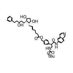 CC(C)(C)OC(=O)NCC(C(=O)Nc1ccc2cnccc2c1)c1ccc(COC(=O)CCCC=CC[C@@H]2[C@@H](CCC(O)CCc3ccccc3)[C@H](O)C[C@@H]2O)cc1